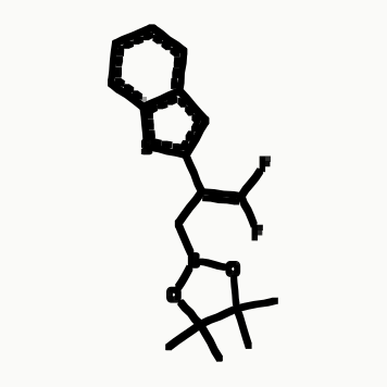 CC1(C)OB(CC(=C(F)F)c2cc3ccccc3s2)OC1(C)C